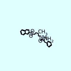 CC(C[CH]S(=O)(=O)c1ccc2ccccc2c1)CNC(=O)[C@@H](N)Cc1ccccc1